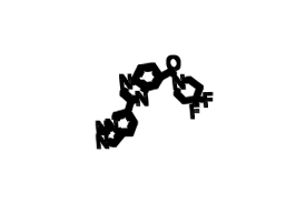 O=C(c1ccc2ncc(-c3ccc4cnnn4c3)nc2c1)N1CCC(F)(F)CC1